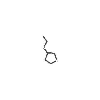 ICOC1CCOC1